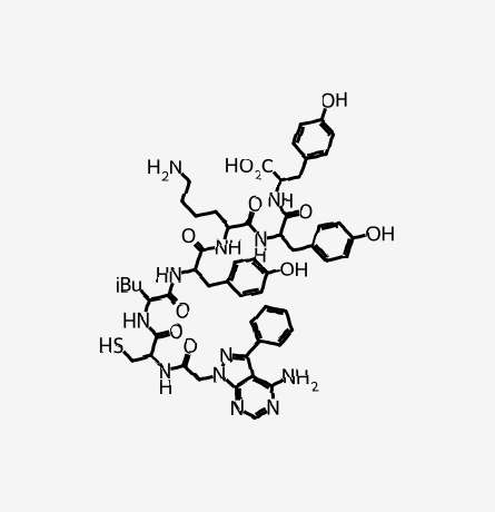 CCC(C)C(NC(=O)C(CS)NC(=O)Cn1nc(-c2ccccc2)c2c(N)ncnc21)C(=O)NC(Cc1ccc(O)cc1)C(=O)NC(CCCCN)C(=O)NC(Cc1ccc(O)cc1)C(=O)NC(Cc1ccc(O)cc1)C(=O)O